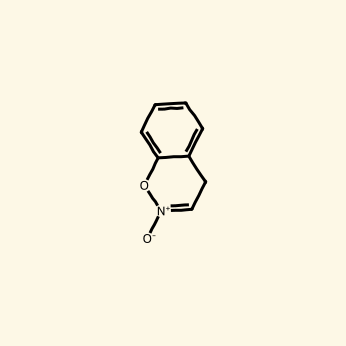 [O-][N+]1=CCc2ccccc2O1